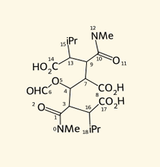 CNC(=O)C(C(OC=O)C(C(=O)O)C(C(=O)NC)C(C(=O)O)C(C)C)C(C(=O)O)C(C)C